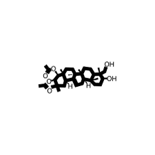 CC(=O)O[C@@H]1[C@H](OC(C)=O)C(C)(C)C[C@@H]2C3=CC[C@@H]4[C@@]5(C)CC[C@H](O)[C@@](C)(CO)C5CC[C@@]4(C)[C@]3(C)CC[C@]21C